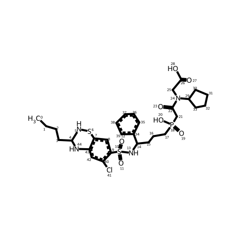 CCCCC1NSc2cc(S(=O)(=O)NC(CCCP(=O)(O)CC(=O)N(CC(=O)O)C3CCCC3)c3ccccc3)c(Cl)cc2N1